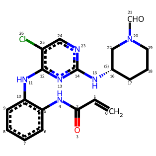 C=CC(=O)Nc1ccccc1Nc1nc(N[C@H]2CCCN(C=O)C2)ncc1Cl